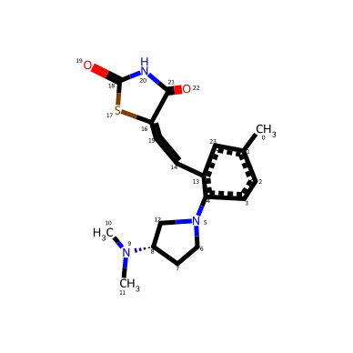 Cc1ccc(N2CC[C@H](N(C)C)C2)c(C=C=C2SC(=O)NC2=O)c1